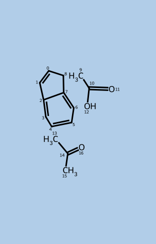 C1=Cc2ccccc2C1.CC(=O)O.CC(C)=O